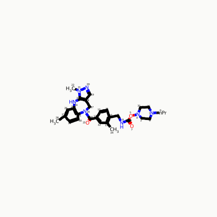 CCCN1CCN(OC(=O)NCc2ccc(C(=O)N3Cc4cnn(C)c4Nc4cc(C)ccc43)cc2C)CC1